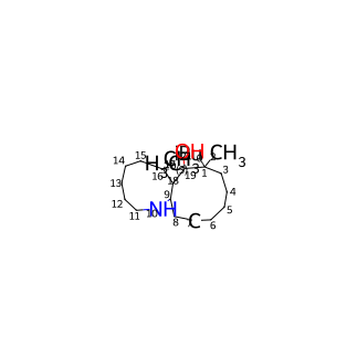 CCC(C)C1(C)CCCCCCC2NCCCCCC(C)C2[C@]1(C)O